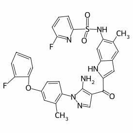 Cc1cc2cc(C(=O)c3cnn(-c4ccc(Oc5ccccc5F)cc4C)c3N)[nH]c2cc1NS(=O)(=O)c1cccc(F)n1